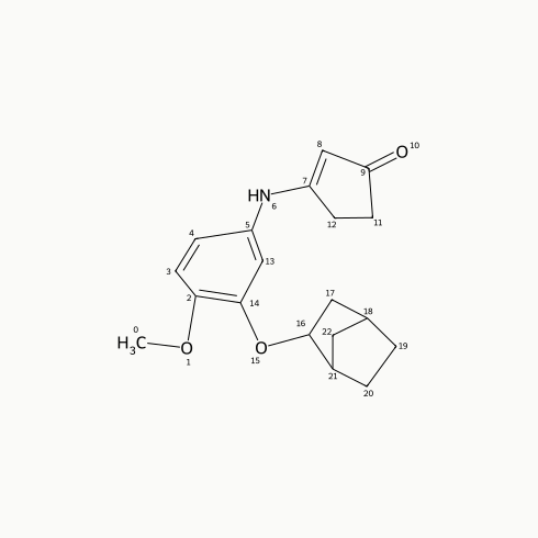 COc1ccc(NC2=CC(=O)CC2)cc1OC1CC2CCC1C2